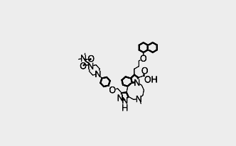 CN1CCCn2c(C(=O)O)c(CCCOc3cccc4ccccc34)c3cccc(c32)-c2c(COc3ccc(N4CCN(S(=O)(=O)N(C)C)CC4)cc3)n[nH]c2C1